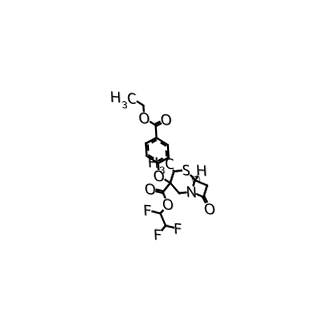 CCOC(=O)c1ccc(OC2(C(=O)OC(F)C(F)F)CN3C(=O)C[C@H]3SC2C)cc1